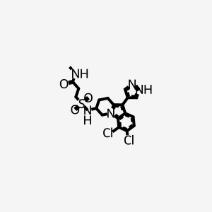 CNC(=O)CCS(=O)(=O)NC1CCc2c(-c3cn[nH]c3)c3ccc(Cl)c(Cl)c3n2C1